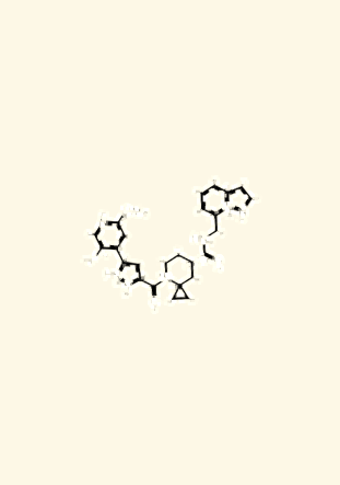 COc1cc(-c2cc(C(=O)N3CC[C@H](C(=O)NCc4cccc5ccnn45)CC34CC4)n[nH]2)c(F)cn1